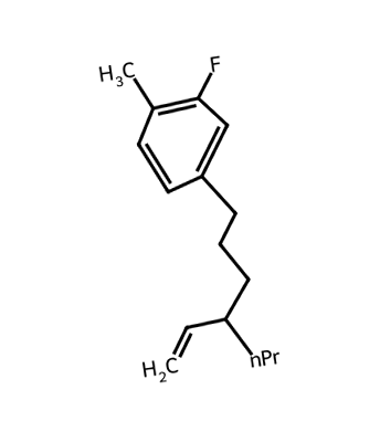 C=CC(CCC)CCCc1ccc(C)c(F)c1